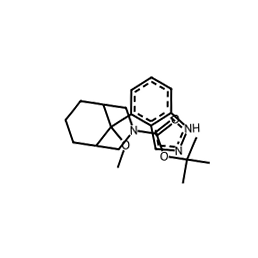 COC1(c2cccc3[nH]ncc23)C2CCCC1CN(C(=O)OC(C)(C)C)C2